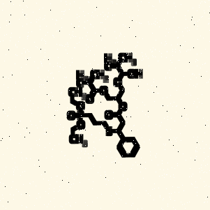 C=C(C)C(=O)OCC(COC(O)C(=C)C)OC(=O)CC(SCCCP(=O)(OCC)OCC)c1ccccc1